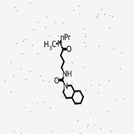 CCCN(C)C(=O)CCCNC(=O)N1CCC2CCCCC2C1